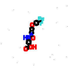 O=C(Nc1ccc(C2(O)COC2)cc1)N1CC2CC(Oc3ccc(C(F)(F)F)cc3)CC2C1